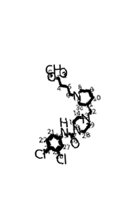 COC(=O)CCCN1CCC[C@@H](CN2CCN(C(=O)Nc3ccc(Cl)c(Cl)c3)CC2)C1